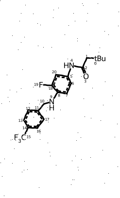 CC(C)(C)CC(=O)Nc1ccc(NCc2ccc(C(F)(F)F)cc2)c(F)c1